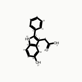 O=C(O)Cc1c(-c2ccccc2)[nH]c2ccc(O)cc12